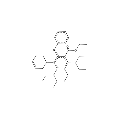 CCOC(=O)c1c(N(CC)CC)c(CC)c(N(CC)CC)n(C2C=CC=CC2)c1=Nc1ccccc1